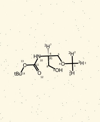 [2H]C([2H])([2H])OC[C@@]([2H])(CO)NC(=O)OC(C)(C)C